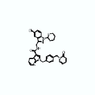 O=C(NCc1nn(C2CCCCO2)c2ccc(Cl)cc12)c1cn(Cc2ccc(Cn3ccccc3=O)cc2)c2ncccc12